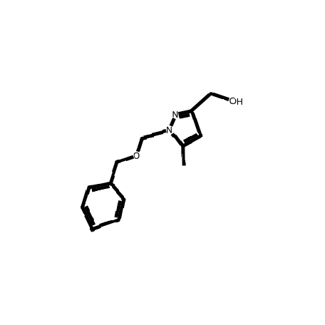 Cc1cc(CO)nn1COCc1ccccc1